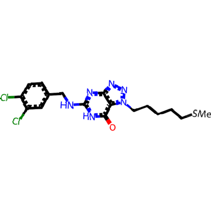 CSCCCCCn1nnc2nc(NCc3ccc(Cl)c(Cl)c3)[nH]c(=O)c21